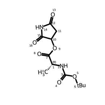 C[C@@H](NC(=O)OC(C)(C)C)C(=O)OC1CC(=O)NC1=O